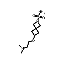 CN(C)CCOC1CC2(C1)CN(S(N)(=O)=O)C2